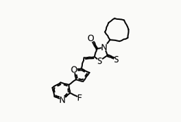 O=C1/C(=C/c2ccc(-c3cccnc3F)o2)SC(=S)N1C1CCCCCCC1